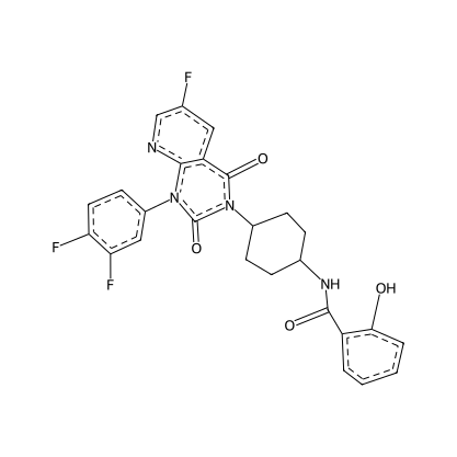 O=C(NC1CCC(n2c(=O)c3cc(F)cnc3n(-c3ccc(F)c(F)c3)c2=O)CC1)c1ccccc1O